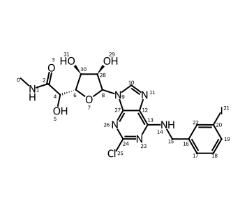 CNC(=O)C(O)[C@H]1OC(n2cnc3c(NCc4cccc(I)c4)nc(Cl)nc32)[C@H](O)[C@@H]1O